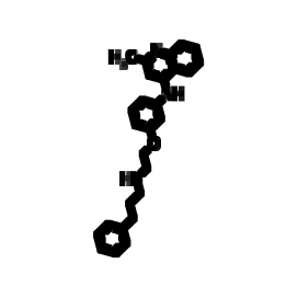 Cc1cc(Nc2cccc(OCCNCCCc3ccccc3)c2)c2ccccc2n1